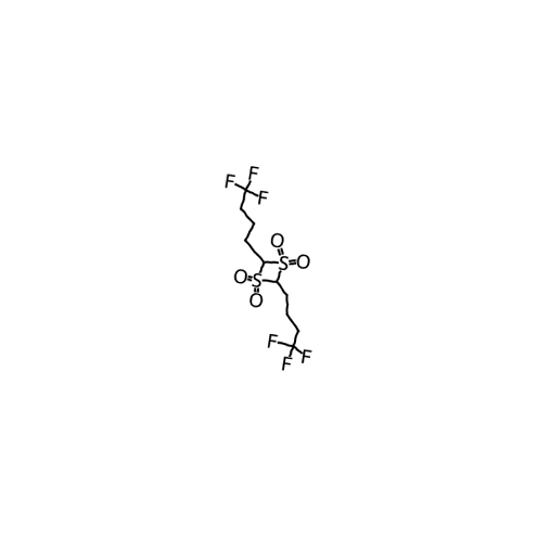 O=S1(=O)C(CCCC(F)(F)F)S(=O)(=O)C1CCCC(F)(F)F